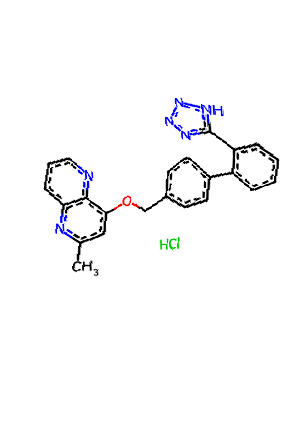 Cc1cc(OCc2ccc(-c3ccccc3-c3nnn[nH]3)cc2)c2ncccc2n1.Cl